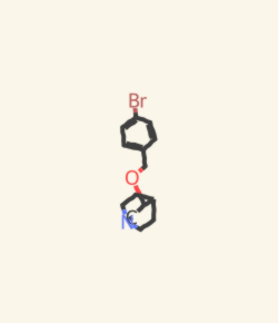 Brc1ccc(COC2CN3CCC2CC3)cc1